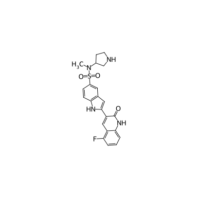 CN(C1CCNC1)S(=O)(=O)c1ccc2[nH]c(-c3cc4c(F)cccc4[nH]c3=O)cc2c1